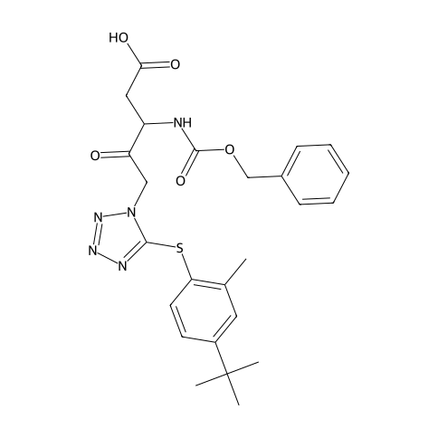 Cc1cc(C(C)(C)C)ccc1Sc1nnnn1CC(=O)C(CC(=O)O)NC(=O)OCc1ccccc1